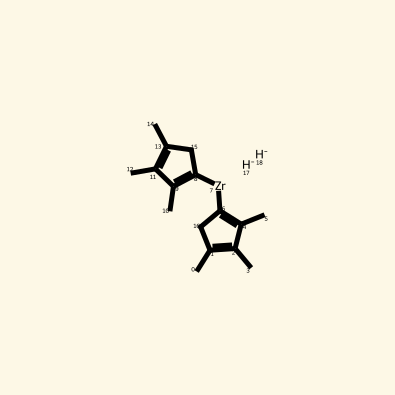 CC1=C(C)C(C)=[C]([Zr][C]2=C(C)C(C)=C(C)C2)C1.[H-].[H-]